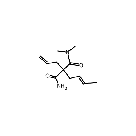 C=CCC(CC=CC)(C(N)=O)C(=O)N(C)C